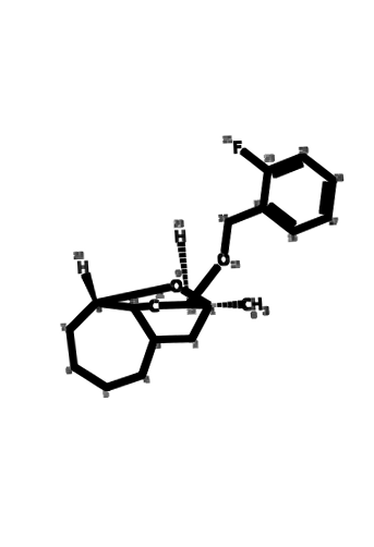 C[C@@]12CC3CCCC[C@H](O1)C3C[C@H]2OCc1ccccc1F